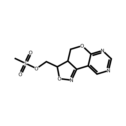 CS(=O)(=O)OCC1ON=C2c3cncnc3OCC21